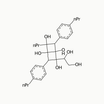 CCCc1ccc(C2C(O)(C(O)CO)C3(O)C(c4ccc(CCC)cc4)C(O)(CCC)C23O)cc1